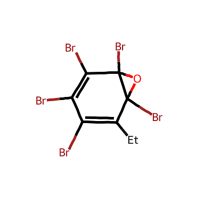 CCC1=C(Br)C(Br)=C(Br)C2(Br)OC12Br